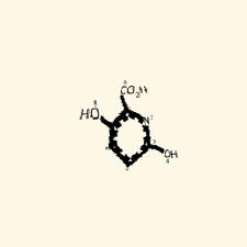 O=C(O)c1nc(O)ccc1O